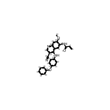 C=CC(=O)Nc1cc2c(Nc3ccc(Oc4ccccc4)cc3)c(C#N)cnc2cc1OC